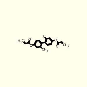 C=CC(=O)OC1=CC=C(c2ccc(OC(=O)C=C)cc2F)C(C)C1